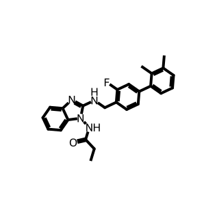 CCC(=O)Nn1c(NCc2ccc(-c3cccc(C)c3C)cc2F)nc2ccccc21